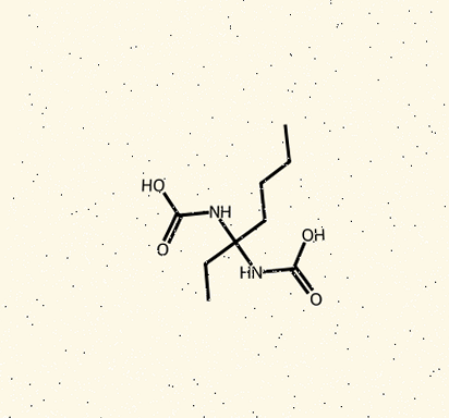 CCCCC(CC)(NC(=O)O)NC(=O)O